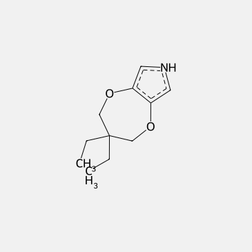 CCC1(CC)COc2c[nH]cc2OC1